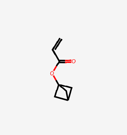 C=CC(=O)OC12CC(C1)C2